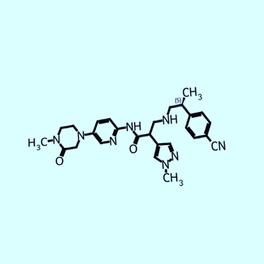 C[C@H](CNCC(C(=O)Nc1ccc(N2CCN(C)C(=O)C2)cn1)c1cnn(C)c1)c1ccc(C#N)cc1